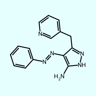 Nc1[nH]nc(Cc2cccnc2)c1N=Nc1ccccc1